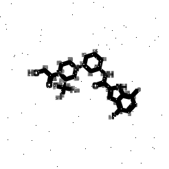 Cc1ccc(F)c2cc(C(=O)N[C@@H]3CCC[C@@H](N4CCN(C(=O)CO)[C@@H](C(F)(F)F)C4)C3)[nH]c12